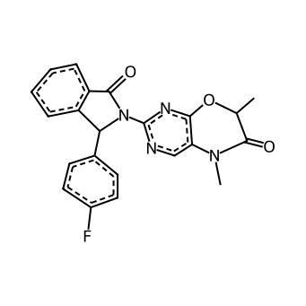 CC1Oc2nc(N3C(=O)c4ccccc4C3c3ccc(F)cc3)ncc2N(C)C1=O